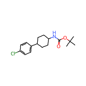 CC(C)(C)OC(=O)NC1CCC(c2ccc(Cl)cc2)CC1